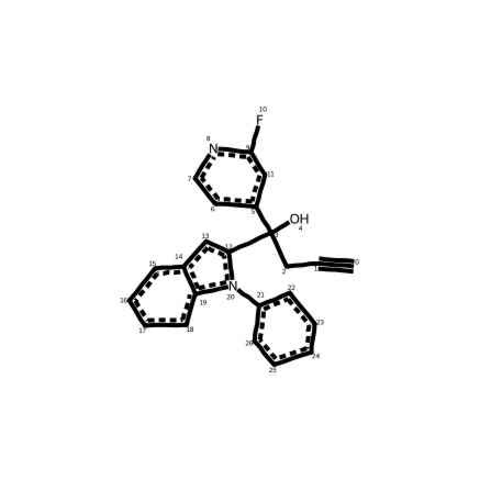 C#CCC(O)(c1ccnc(F)c1)c1cc2ccccc2n1-c1ccccc1